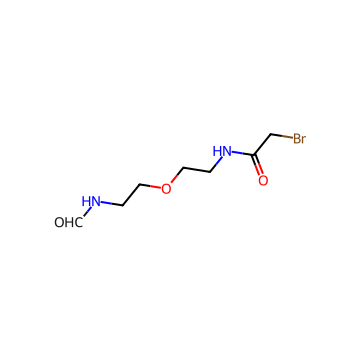 O=CNCCOCCNC(=O)CBr